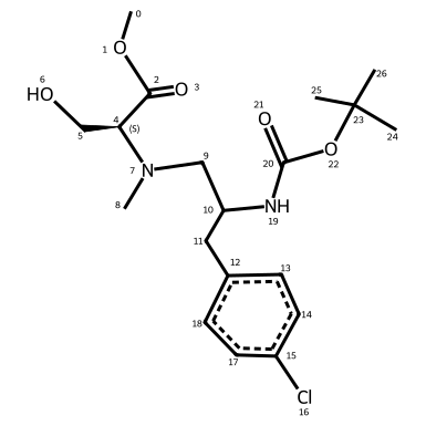 COC(=O)[C@H](CO)N(C)CC(Cc1ccc(Cl)cc1)NC(=O)OC(C)(C)C